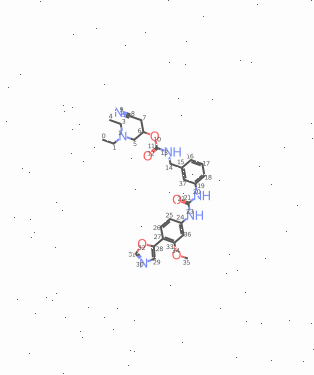 CCN(CC)CC(CC#N)OC(=O)NCc1cccc(NC(=O)Nc2ccc(-c3cnco3)c(OC)c2)c1